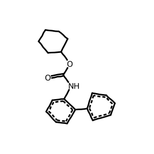 O=C(Nc1ccccc1-c1ccccc1)OC1CCCCC1